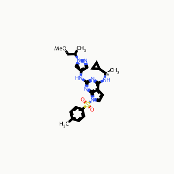 COCC(C)n1cc(Nc2nc(N[C@@H](C)C3CC3)c3ccn(S(=O)(=O)c4ccc(C)cc4)c3n2)cn1